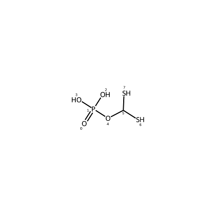 O=P(O)(O)OC(S)S